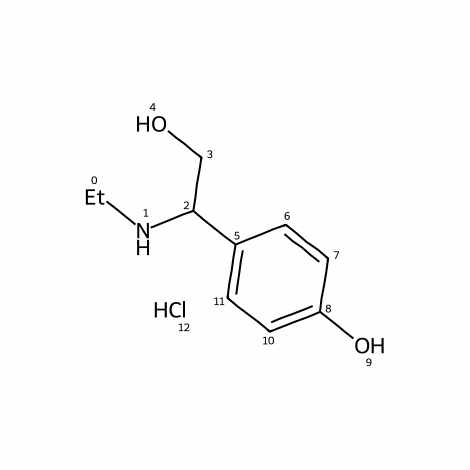 CCNC(CO)c1ccc(O)cc1.Cl